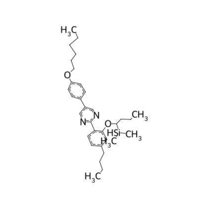 CCCCCCOc1ccc(-c2cnc(-c3ccc(CCCC)cc3OC(CCC)[SiH](C)C)nc2)cc1